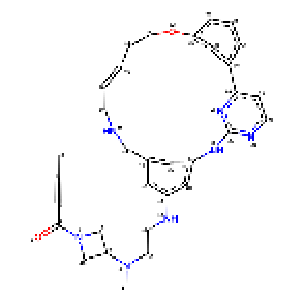 CC#CC(=O)N1CC(N(C)CCNc2cc3cc(c2)Nc2nccc(n2)-c2cccc(c2)OCC/C=C/CNC3)C1